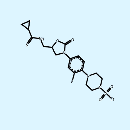 CCS(=O)(=O)N1CCN(c2ccc(N3CC(CNC(=S)C4CC4)OC3=O)cc2F)CC1